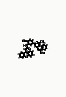 C[SiH](C)OC(CCCC(C1CCCCC1)C(C)(C)C)c1ccc(C(C)(C)C)c(NC(=O)CC2c3ccccc3Oc3ccccc32)c1